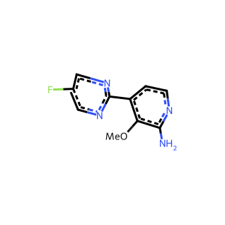 COc1c(-c2ncc(F)cn2)ccnc1N